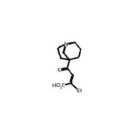 CCC(=CC(=O)C12CCCN(CC1)C2)C(=O)O